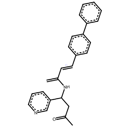 C=C(/C=C/c1ccc(-c2ccccc2)cc1)NC(CC(C)=O)c1cccnc1